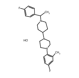 Cc1cc(F)ccc1N1CCN(C2CCN(C(C)c3ccc(F)cc3)CC2)CC1.Cl